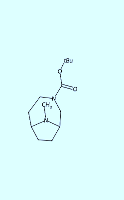 CN1C2CCC1CN(C(=O)OC(C)(C)C)CC2